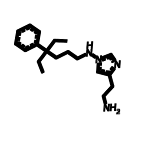 CCC(CC)(CCCNn1cnc(CCN)c1)c1ccccc1